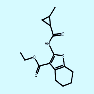 CCOC(=O)c1c(NC(=O)C2CC2C)sc2c1CCCC2